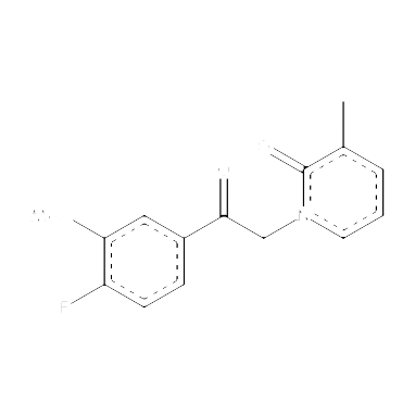 COc1cc(C(=O)Cn2cccc(C)c2=O)ccc1F